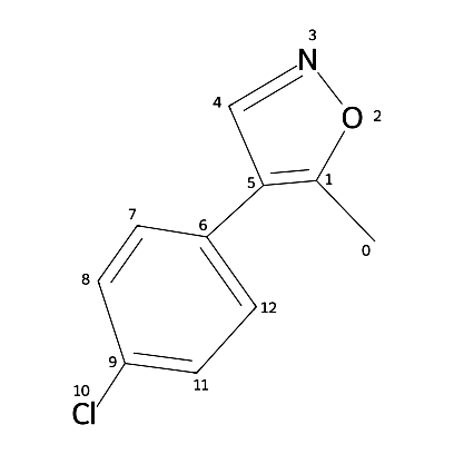 Cc1oncc1-c1ccc(Cl)cc1